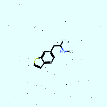 CCNC(C)Cc1ccc2ccsc2c1